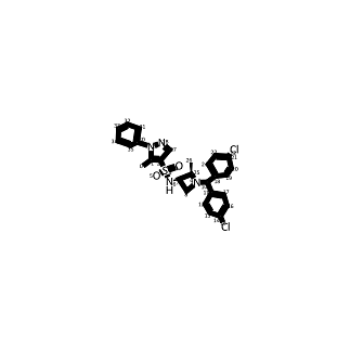 Cc1c(S(=O)(=O)N[C@H]2CN(C(c3ccc(Cl)cc3)c3ccc(Cl)cc3)[C@@H]2C)cnn1-c1ccccc1